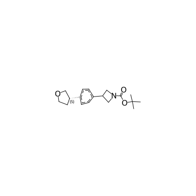 CC(C)(C)OC(=O)N1CC(c2ccc([C@@H]3CCOC3)cc2)C1